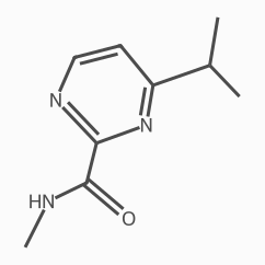 CNC(=O)c1nccc(C(C)C)n1